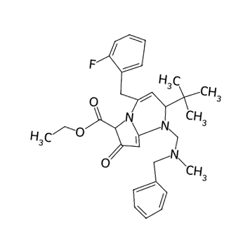 CCOC(=O)C1C(=O)C=C2N(CN(C)Cc3ccccc3)C(C(C)(C)C)C=C(Cc3ccccc3F)N21